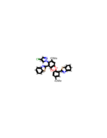 COc1ccc(Oc2cc(OC)c(-n3cc(Cl)cn3)c(-c3nc4ccccc4s3)c2O)c(-c2nc3ccccc3s2)c1